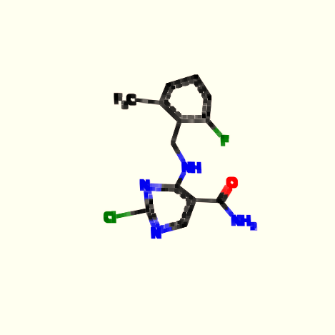 NC(=O)c1cnc(Cl)nc1NCc1c(F)cccc1C(F)(F)F